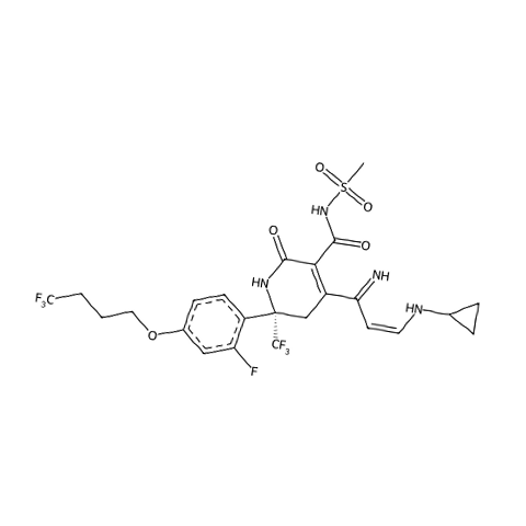 CS(=O)(=O)NC(=O)C1=C(C(=N)/C=C\NC2CC2)C[C@](c2ccc(OCCCC(F)(F)F)cc2F)(C(F)(F)F)NC1=O